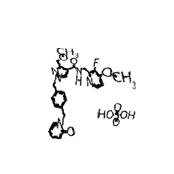 COCc1nn(Cc2ccc(Cn3ccccc3=O)cc2)cc1C(=O)NCc1nccc(OC)c1F.O=S(=O)(O)O